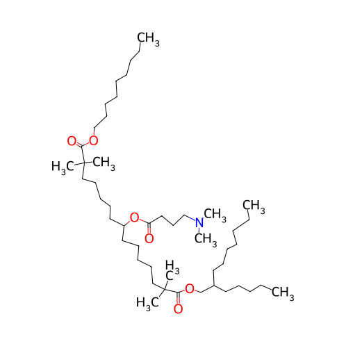 CCCCCCCCCOC(=O)C(C)(C)CCCCCC(CCCCCC(C)(C)C(=O)OCC(CCCCC)CCCCCCC)OC(=O)CCCN(C)C